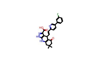 CC1(C)CC(=O)C2=C(C1)Nc1[nH]nc(C(=O)O)c1C2/C=C/c1ccc(-c2cccc(F)c2)cn1